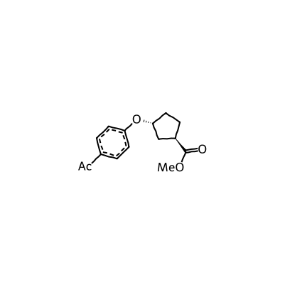 COC(=O)[C@@H]1CC[C@@H](Oc2ccc(C(C)=O)cc2)C1